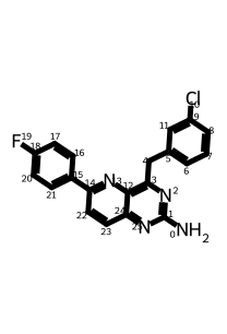 Nc1nc(Cc2cccc(Cl)c2)c2nc(-c3ccc(F)cc3)ccc2n1